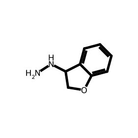 NNC1COc2ccccc21